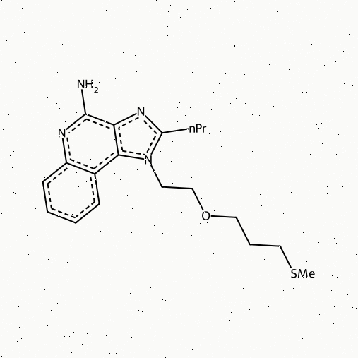 CCCc1nc2c(N)nc3ccccc3c2n1CCOCCCSC